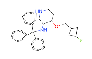 FC12CC(COC3CCNCC3NC(c3ccccc3)(c3ccccc3)c3ccccc3)(C1)C2